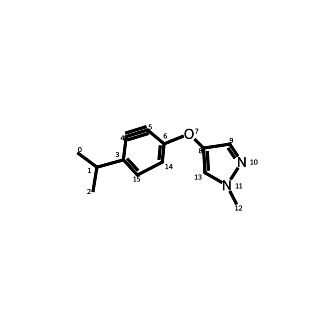 CC(C)c1c#cc(Oc2cnn(C)c2)cc1